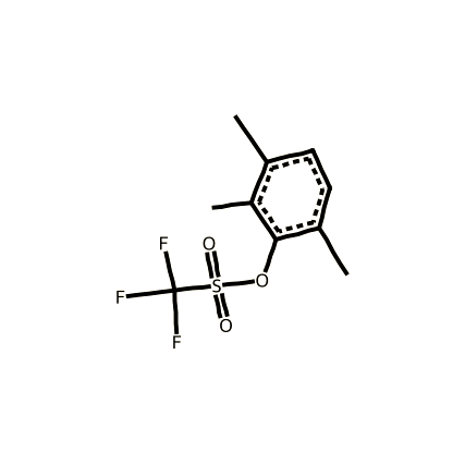 Cc1ccc(C)c(OS(=O)(=O)C(F)(F)F)c1C